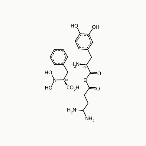 NC(N)CCC(=O)OC(=O)[C@@H](N)Cc1ccc(O)c(O)c1.O=C(O)[C@H](Cc1ccccc1)N(O)O